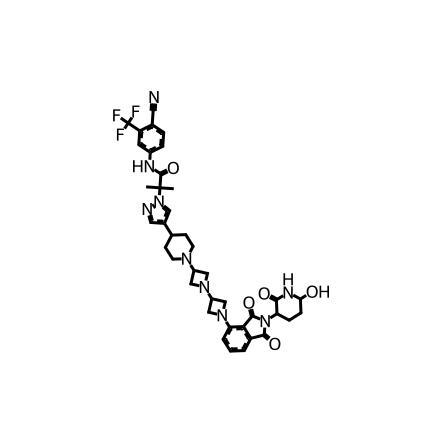 CC(C)(C(=O)Nc1ccc(C#N)c(C(F)(F)F)c1)n1cc(C2CCN(C3CN(C4CN(c5cccc6c5C(=O)N(C5CCC(O)NC5=O)C6=O)C4)C3)CC2)cn1